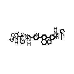 COC(=O)N[C@H](C(=O)N1CCC[C@H]1c1ncc(-c2ccc(-c3ccc(-c4ccc5nc([C@@H]6CCCN6)[nH]c5c4)c4c3CCCC43CCCC3)nc2)[nH]1)C(C)C